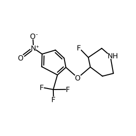 O=[N+]([O-])c1ccc(OC2CCNCC2F)c(C(F)(F)F)c1